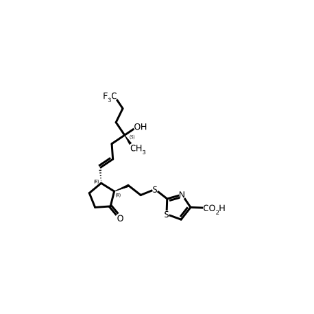 C[C@@](O)(CC=C[C@H]1CCC(=O)[C@@H]1CCSc1nc(C(=O)O)cs1)CCC(F)(F)F